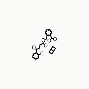 C1CC2CCC12.O=C(CCC(=O)c1ccccc1Cl)OC1OC(=O)c2ccccc21